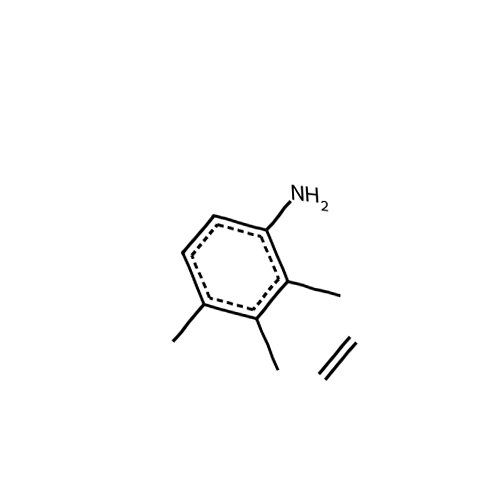 C=C.Cc1ccc(N)c(C)c1C